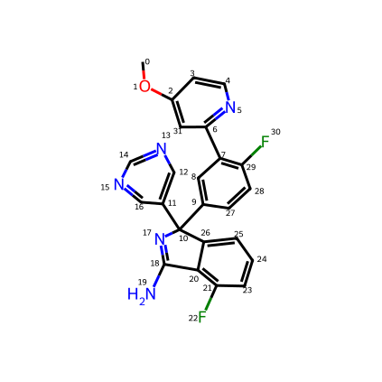 COc1ccnc(-c2cc(C3(c4cncnc4)N=C(N)c4c(F)cccc43)ccc2F)c1